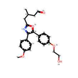 COc1ccc(-c2nc(CC(C)CC=O)oc2-c2ccc(OCCO)cc2)cc1